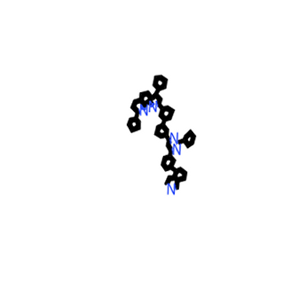 c1ccc(-c2ccc3ccc4c(-c5ccccc5)cc(-c5cccc(-c6cccc(-c7cc(-c8cccc(-c9cccc%10cnccc9%10)c8)nc(-c8ccccc8)n7)c6)c5)nc4c3n2)cc1